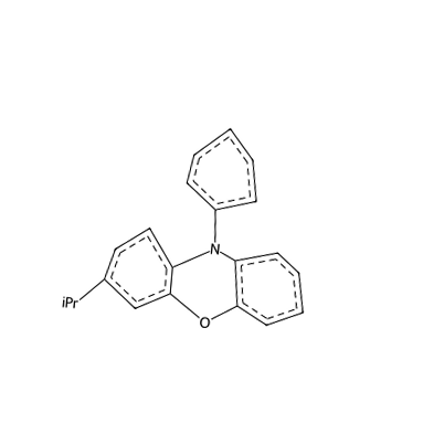 CC(C)c1ccc2c(c1)Oc1ccccc1N2c1ccccc1